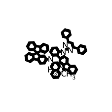 CC1(C)c2ccccc2-c2cc3c(cc21)c1c(N(c2ccc4c(c2)C2(c5ccccc5-c5ccccc52)c2ccccc2-4)c2ccc4ccccc4c2)cccc1n3-c1nc(-c2ccccc2)cc(-c2ccccc2)n1